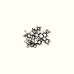 COc1ccc2c(c1)C=C(c1c(C(=O)N3C[C@@H](C)N(C)[C@@H](C)C3)cnn1C1CCC1)Cn1c-2c(C2CCCCC2)c2ccc(C(=O)NS(=O)(=O)C(C)C)cc21